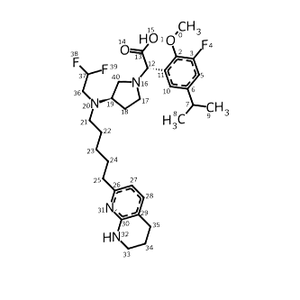 COc1c(F)cc(C(C)C)cc1[C@@H](C(=O)O)N1CC[C@@H](N(CCCCCc2ccc3c(n2)NCCC3)CC(F)F)C1